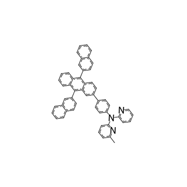 Cc1cccc(N(c2ccc(-c3ccc4c(-c5ccc6ccccc6c5)c5ccccc5c(-c5ccc6ccccc6c5)c4c3)cc2)c2ccccn2)n1